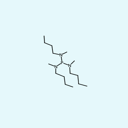 CCCCN(C)P(N(C)CCCC)N(C)CCCC